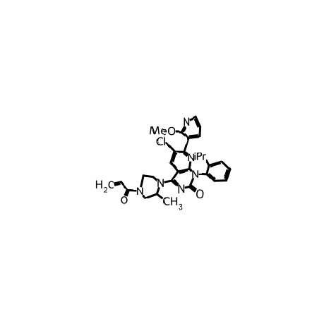 C=CC(=O)N1CCN(c2nc(=O)n(-c3ccccc3C(C)C)c3nc(-c4cccnc4OC)c(Cl)cc23)C(C)C1